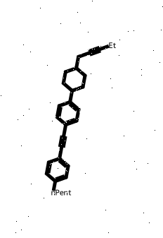 CCC#CCC1CCC(c2ccc(C#Cc3ccc(CCCCC)cc3)cc2)CC1